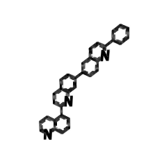 c1ccc(-c2ccc3cc(-c4ccc5ccc(-c6cccc7ncccc67)nc5c4)ccc3n2)cc1